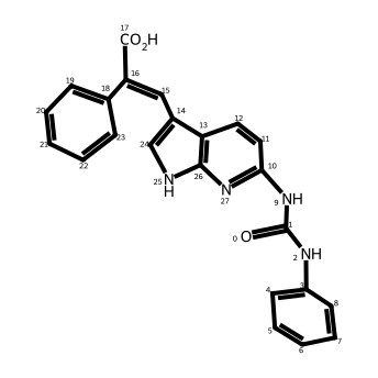 O=C(Nc1ccccc1)Nc1ccc2c(/C=C(/C(=O)O)c3ccccc3)c[nH]c2n1